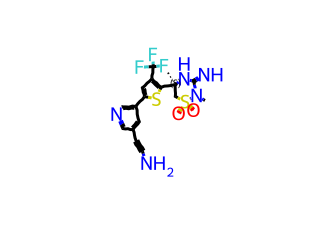 CN1C(=N)N[C@](C)(c2sc(-c3cncc(C#CN)c3)cc2C(F)(F)F)CS1(=O)=O